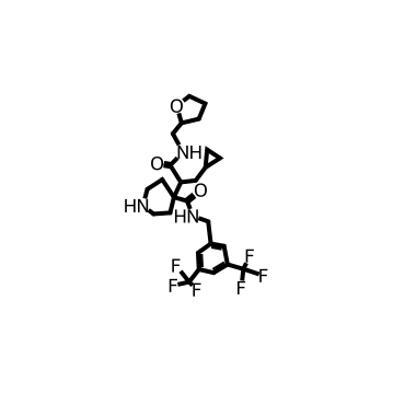 O=C(NCC1CCCO1)C(CC1CC1)C1(C(=O)NCc2cc(C(F)(F)F)cc(C(F)(F)F)c2)CCNCC1